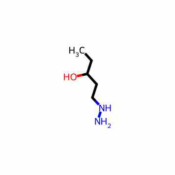 CCC(O)CCNN